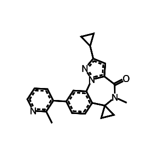 Cc1ncccc1-c1ccc2c(c1)-n1nc(C3CC3)cc1C(=O)N(C)C21CC1